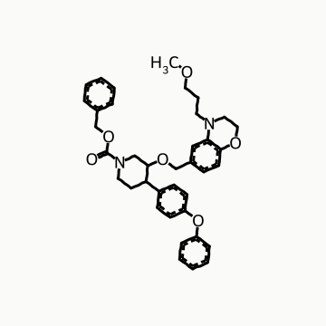 COCCCN1CCOc2ccc(COC3CN(C(=O)OCc4ccccc4)CCC3c3ccc(Oc4ccccc4)cc3)cc21